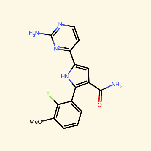 COc1cccc(-c2[nH]c(-c3ccnc(N)n3)cc2C(N)=O)c1F